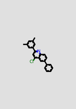 Cc1cc(C)cc(-c2cc(Cl)c3cc(-c4ccccc4)ccc3n2)c1